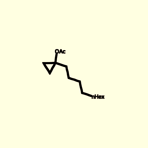 CCCCCCCCCCC1(OC(C)=O)CC1